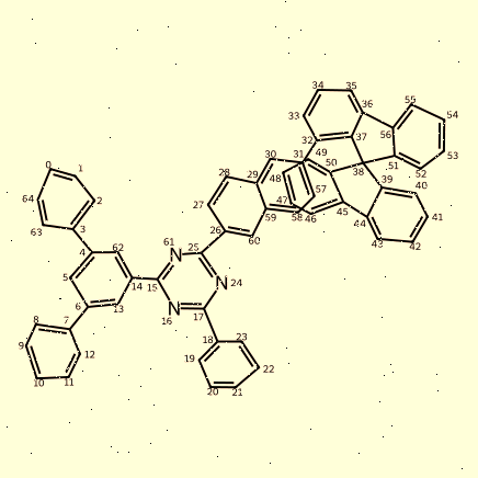 c1ccc(-c2cc(-c3ccccc3)cc(-c3nc(-c4ccccc4)nc(-c4ccc5cc(-c6cccc7c6C6(c8ccccc8-c8ccccc86)c6ccccc6-7)ccc5c4)n3)c2)cc1